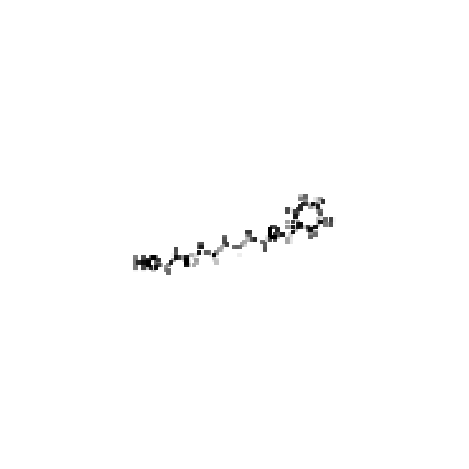 OCCOCCCCCCOCc1ccccc1